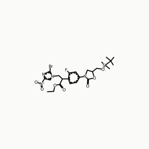 CCOC(=O)C(Cn1cc([N+](=O)[O-])nc1Br)c1ccc(N2CC(CO[Si](C)(C)C(C)(C)C)OC2=O)cc1F